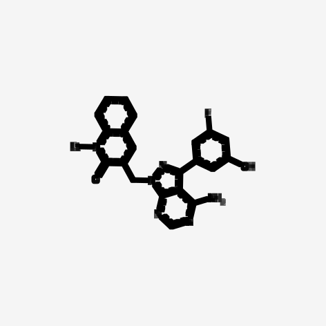 CCn1c(=O)c(Cn2nc(-c3cc(O)cc(F)c3)c3c(N)ncnc32)cc2ccccc21